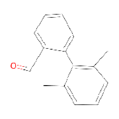 Cc1cccc(C)c1-c1ccccc1C=O